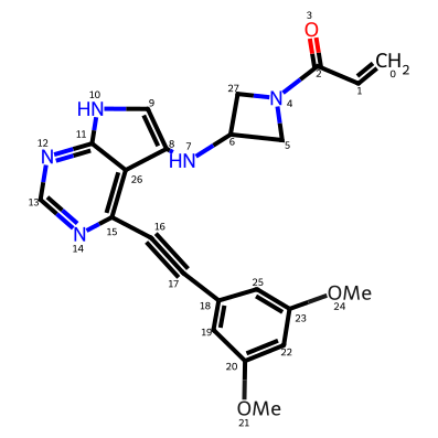 C=CC(=O)N1CC(Nc2c[nH]c3ncnc(C#Cc4cc(OC)cc(OC)c4)c23)C1